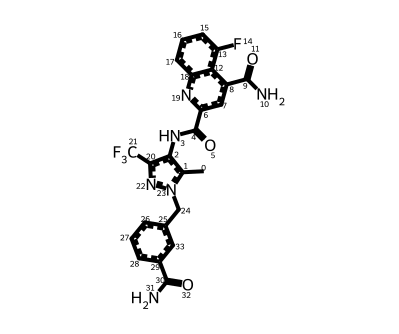 Cc1c(NC(=O)c2cc(C(N)=O)c3c(F)cccc3n2)c(C(F)(F)F)nn1Cc1cccc(C(N)=O)c1